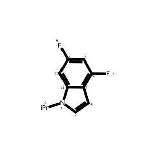 CC(C)n1ccc2c(F)cc(F)cc21